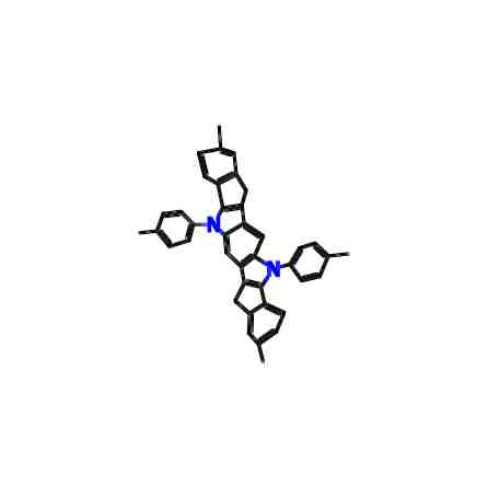 Cc1ccc(-n2c3c(c4cc5c(cc42)c2c(n5-c4ccc(C)cc4)-c4ccc(C)cc4C2)Cc2cc(C)ccc2-3)cc1